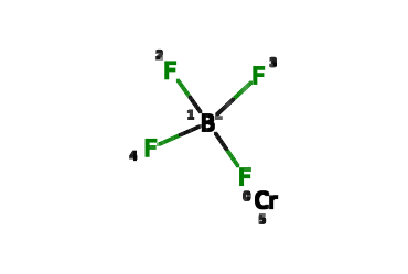 F[B-](F)(F)F.[Cr]